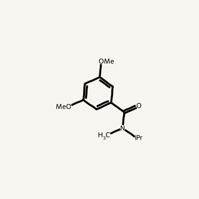 COc1cc(OC)cc(C(=O)N(C)C(C)C)c1